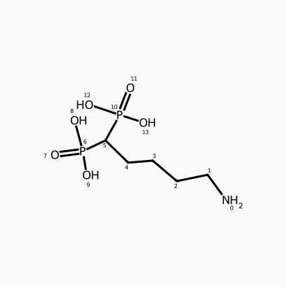 NCCCCC(P(=O)(O)O)P(=O)(O)O